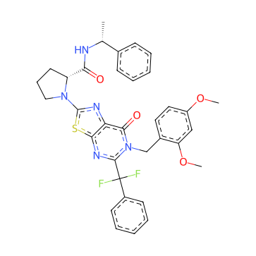 COc1ccc(Cn2c(C(F)(F)c3ccccc3)nc3sc(N4CCC[C@@H]4C(=O)N[C@H](C)c4ccccc4)nc3c2=O)c(OC)c1